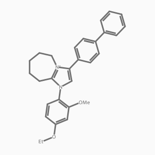 CCOc1ccc(-n2cc(-c3ccc(-c4ccccc4)cc3)[n+]3c2CCCCC3)c(OC)c1